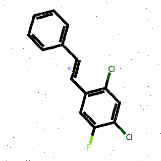 Fc1cc(/C=C/c2ccccc2)c(Cl)cc1Cl